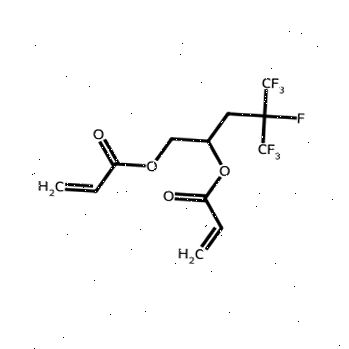 C=CC(=O)OCC(CC(F)(C(F)(F)F)C(F)(F)F)OC(=O)C=C